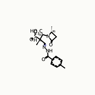 Cc1ccc(C(=O)N/N=C/[C@@](C)([C@H](C(=O)O)N2C(=O)C[C@H]2C)[SH](=O)=O)cc1